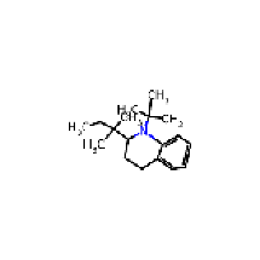 CCC(C)(C)C1CCc2ccccc2N1C(C)(C)C